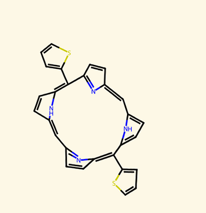 C1=Cc2nc1cc1ccc([nH]1)c(-c1cccs1)c1nc(cc3ccc([nH]3)c2-c2cccs2)C=C1